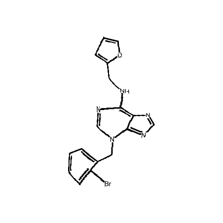 Brc1ccccc1Cn1cnc(NCc2ccco2)c2ncnc1-2